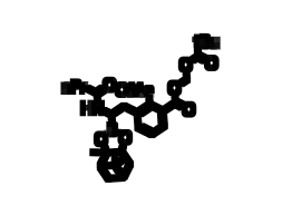 CCCC(=O)NC(Cc1cccc(C(=O)OCOC(=O)C(C)(C)C)c1OC)B1OC2CC3CC(C3(C)C)C2(C)O1